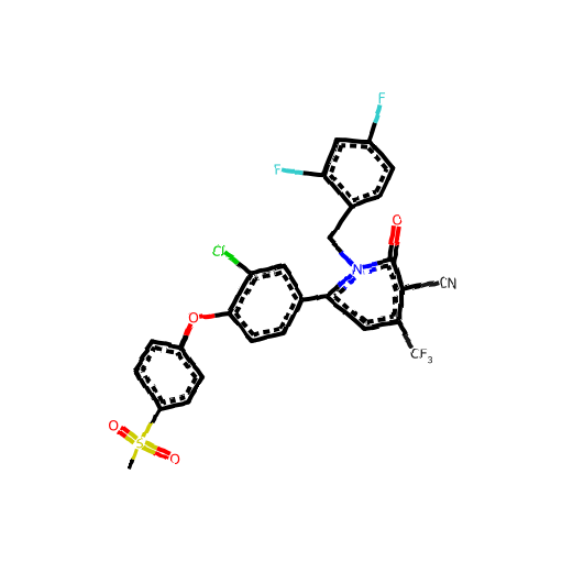 CS(=O)(=O)c1ccc(Oc2ccc(-c3cc(C(F)(F)F)c(C#N)c(=O)n3Cc3ccc(F)cc3F)cc2Cl)cc1